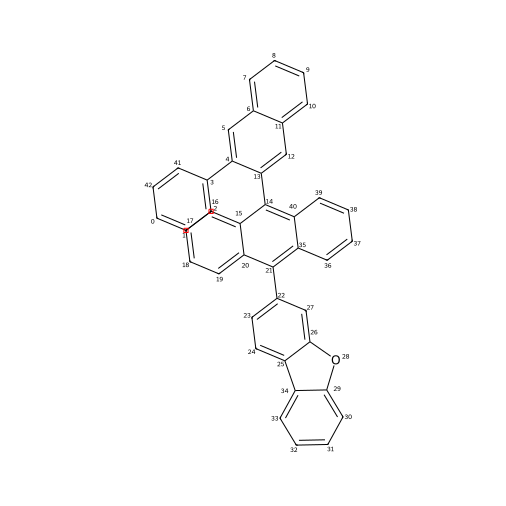 c1ccc(-c2cc3ccccc3cc2-c2c3ccccc3c(-c3ccc4c(c3)oc3ccccc34)c3ccccc23)cc1